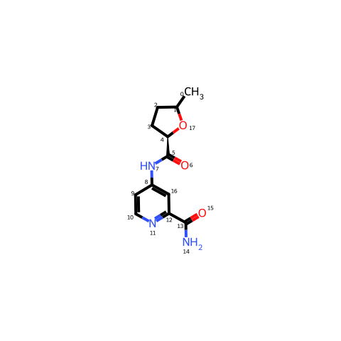 CC1CC[C@H](C(=O)Nc2ccnc(C(N)=O)c2)O1